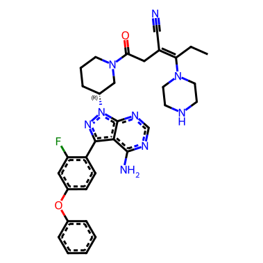 CCC(=C(C#N)CC(=O)N1CCC[C@@H](n2nc(-c3ccc(Oc4ccccc4)cc3F)c3c(N)ncnc32)C1)N1CCNCC1